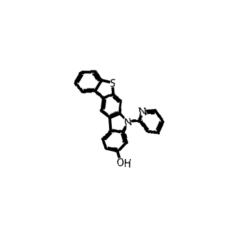 Oc1ccc2c3cc4c(cc3n(-c3ccccn3)c2c1)sc1ccccc14